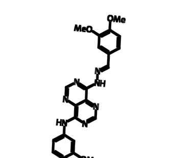 COc1cccc(Nc2ncnc3c(NN=Cc4ccc(OC)c(OC)c4)ncnc23)c1